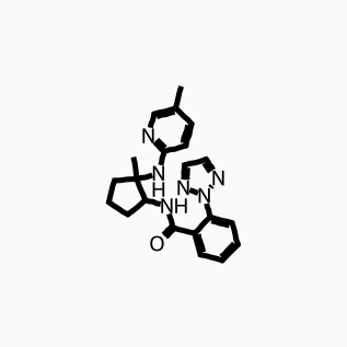 Cc1ccc(NC2(C)CCCC2NC(=O)c2ccccc2-n2nccn2)nc1